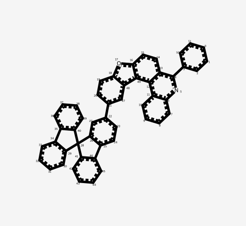 c1ccc(-c2nc3ccccc3c3c2ccc2oc4ccc(-c5ccc6c(c5)C5(c7ccccc7-c7ccccc75)c5ccccc5-6)cc4c23)cc1